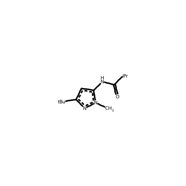 CC(C)C(=O)Nc1cc(C(C)(C)C)nn1C